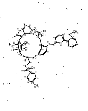 COc1ccccc1-c1nccc(COc2ccc3cc2C[C@H](C(=O)O)Oc2ncnc4sc(I)c(c24)-c2c(C)c(Cl)c(c(Cl)c2C)O[C@H](COS(=O)(=O)c2ccc(C)cc2)CO3)n1